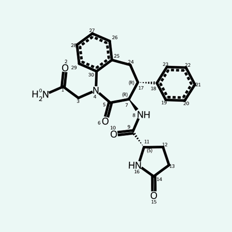 NC(=O)CN1C(=O)[C@H](NC(=O)[C@@H]2CCC(=O)N2)[C@@H](c2ccccc2)Cc2ccccc21